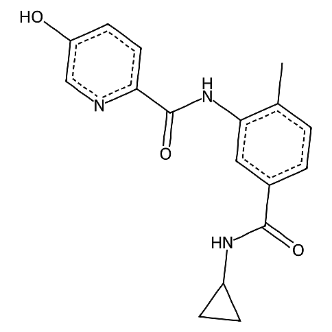 Cc1ccc(C(=O)NC2CC2)cc1NC(=O)c1ccc(O)cn1